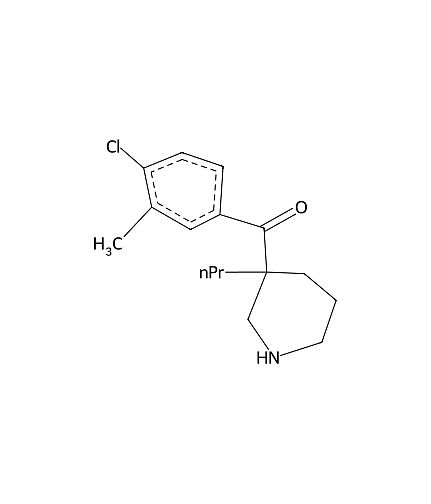 CCCC1(C(=O)c2ccc(Cl)c(C)c2)CCCNC1